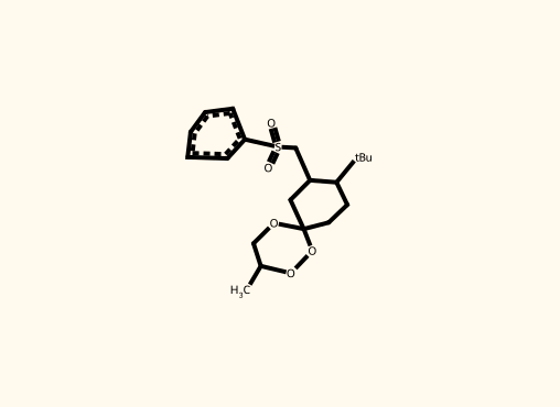 CC1COC2(CCC(C(C)(C)C)C(CS(=O)(=O)c3ccccc3)C2)OO1